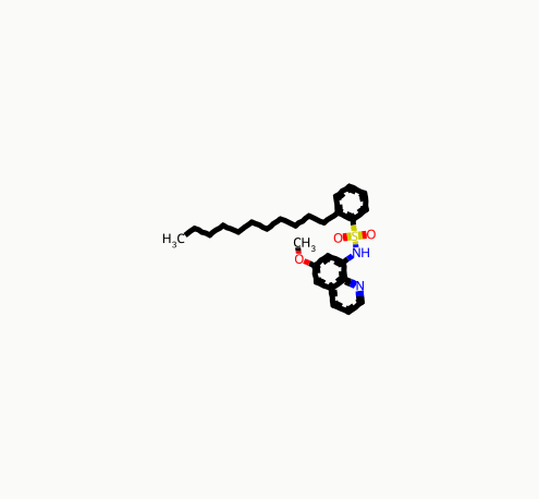 CCCCCCCCCCCc1ccccc1S(=O)(=O)Nc1cc(OC)cc2cccnc12